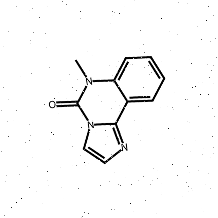 Cn1c(=O)n2ccnc2c2ccccc21